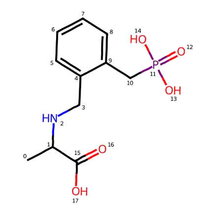 CC(NCc1ccccc1CP(=O)(O)O)C(=O)O